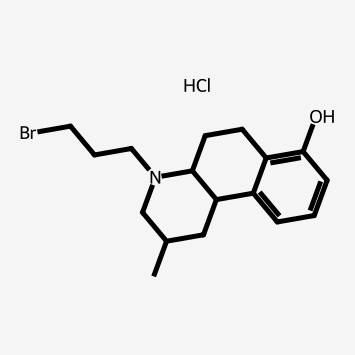 CC1CC2c3cccc(O)c3CCC2N(CCCBr)C1.Cl